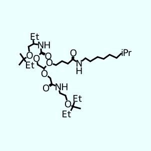 CCC(COC(C)(C)CC)NC(=O)OCC(OCCCC(=O)NCCCCCCC(C)C)OCC(=O)NCCOC(C)(CC)CC